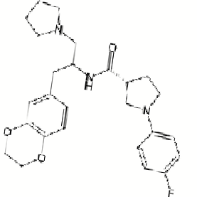 O=C(NC(Cc1ccc2c(c1)OCCO2)CN1CCCC1)[C@@H]1CCN(c2ccc(F)cc2)C1